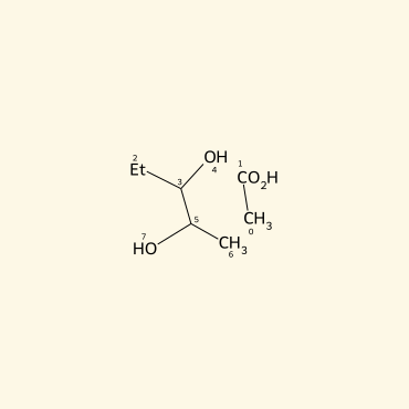 CC(=O)O.CCC(O)C(C)O